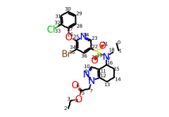 CC.CCOC(=O)Cn1ncc2c1CCCC2N(C)S(=O)(=O)c1cnc(Oc2ccccc2Cl)c(Br)c1